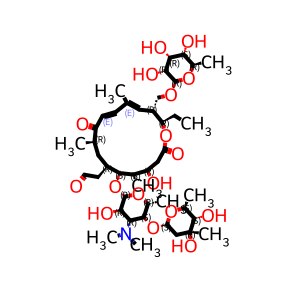 CC[C@H]1OC(=O)C[C@@H](O)[C@H](C)[C@@H](O[C@@H]2O[C@H](C)[C@@H](O[C@H]3C[C@@](C)(O)[C@@H](O)[C@H](C)O3)[C@H](N(C)C)[C@H]2O)[C@@H](CC=O)C[C@@H](C)C(=O)/C=C/C(C)=C/[C@@H]1CO[C@@H]1O[C@H](C)[C@@H](O)[C@@H](O)[C@H]1O